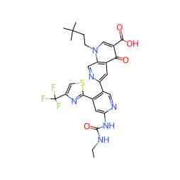 CCNC(=O)Nc1cc(-c2nc(C(F)(F)F)cs2)c(-c2cc3c(=O)c(C(=O)O)cn(CCC(C)(C)C)c3cn2)cn1